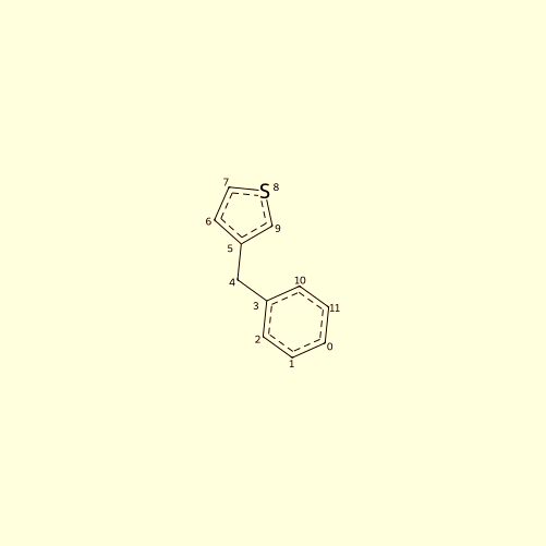 c1ccc(Cc2ccsc2)cc1